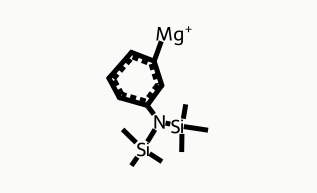 C[Si](C)(C)N(c1ccc[c]([Mg+])c1)[Si](C)(C)C